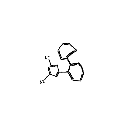 N#Cc1cc(C#N)cc(-c2ccccc2-c2ccccc2)c1